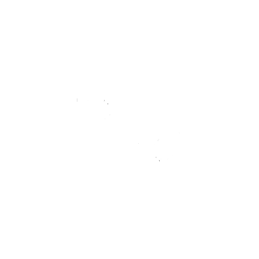 CCCCCCCCNC(=O)C=CSC(=O)c1nccc2ccccc12